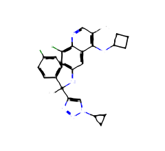 [2H]C(Nc1cc(Cl)c2ncc(C#N)c(NC3CCC3)c2c1)(c1ccc(F)cc1)c1cn(C2CC2)nn1